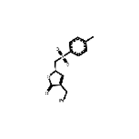 Cc1ccc(S(=O)(=O)C[C@H]2C=C(CC(C)C)C(=O)O2)cc1